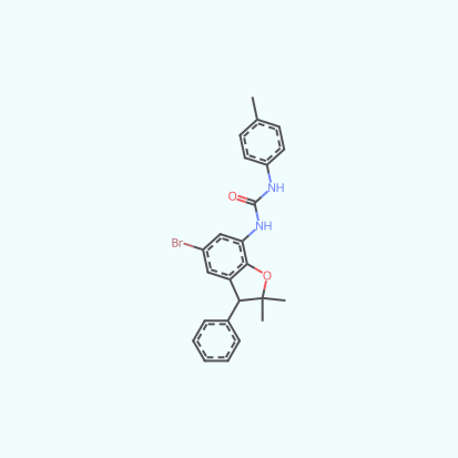 Cc1ccc(NC(=O)Nc2cc(Br)cc3c2OC(C)(C)C3c2ccccc2)cc1